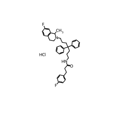 CC1c2cc(F)ccc2CCN1CCCC(CCCNC(=O)CCc1ccc(F)cc1)(c1ccccc1)c1ccccc1.Cl